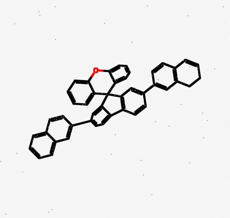 C1=Cc2ccc(-c3ccc4c(c3)C3(c5ccccc5Oc5ccccc53)c3cc(-c5ccc6ccccc6c5)ccc3-4)cc2CC1